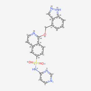 O=S(=O)(Nc1ccncn1)c1ccc2c(OCc3cccc4[nH]ncc34)nccc2c1